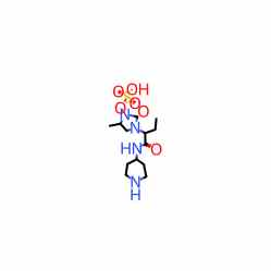 CCC(C(=O)NC1CCNCC1)N1CC(C)N(OS(=O)(=O)O)C1=O